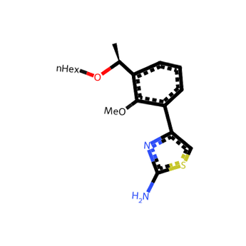 CCCCCCO[C@@H](C)c1cccc(-c2csc(N)n2)c1OC